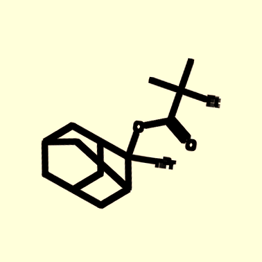 CCCC1(OC(=O)C(C)(C)CC)C2CC3CC(C2)CC1C3